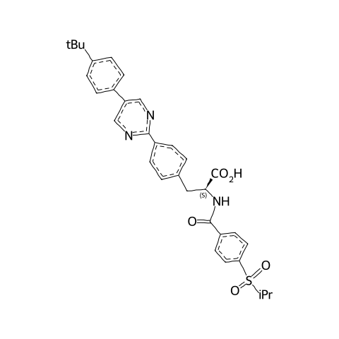 CC(C)S(=O)(=O)c1ccc(C(=O)N[C@@H](Cc2ccc(-c3ncc(-c4ccc(C(C)(C)C)cc4)cn3)cc2)C(=O)O)cc1